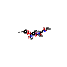 CCCC(=O)NCC(OC(=O)Oc1ccc([N+](=O)[O-])cc1)c1ccc(OC(=O)[C@@H](NC(=O)CCCNC(=O)OC(C)(C)C)[C@@H](C)CC)c(OC)c1